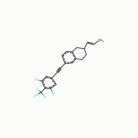 C/C=C/C1CCc2cc(C#Cc3cc(F)c(C(F)(F)F)c(F)c3)ccc2C1